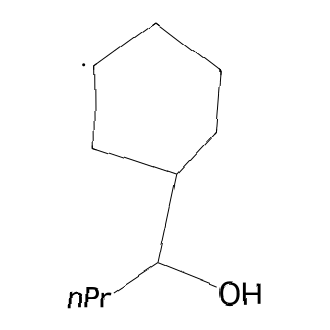 CCCC(O)C1C[CH]CCC1